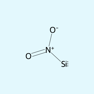 O=[N+]([O-])[Si]